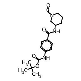 CC(C)(C)OC(=O)Nc1ccc(C(=O)N[C@@H]2CCCN(N=O)C2)cc1